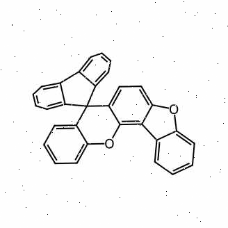 c1ccc2c(c1)Oc1c(ccc3oc4ccccc4c13)C21c2ccccc2-c2ccccc21